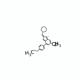 CCCc1ccc(-c2cc(C)cc3c2=CC(=CC2CCCCC2)[C]=3)cc1.[Zr]